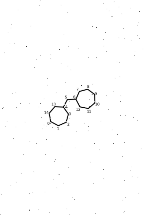 [CH]1CCCC(CC2CC[CH]CCC2)CC1